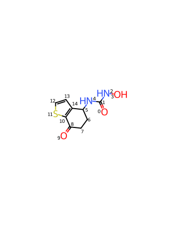 O=C(NO)NC1CCC(=O)c2sccc21